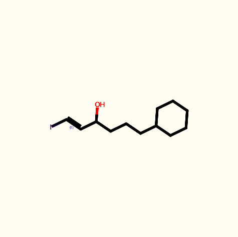 OC(/C=C/I)CCCC1CCCCC1